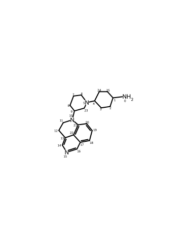 NC1CCC(N2CCCC(N3CCc4cncc5cccc3c45)C2)CC1